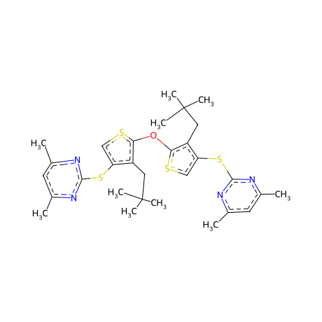 Cc1cc(C)nc(Sc2csc(Oc3scc(Sc4nc(C)cc(C)n4)c3CC(C)(C)C)c2CC(C)(C)C)n1